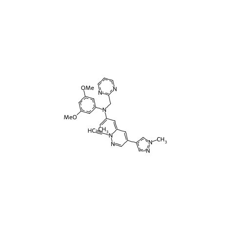 C#CN1N=CC(c2cnn(C)c2)=C/C1=C/C(=C\C)N(Cc1ncccn1)c1cc(OC)cc(OC)c1